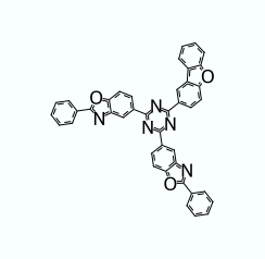 c1ccc(-c2nc3cc(-c4nc(-c5ccc6oc(-c7ccccc7)nc6c5)nc(-c5ccc6oc7ccccc7c6c5)n4)ccc3o2)cc1